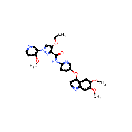 CCOc1cn(-c2cnccc2OC)nc1C(=O)Nc1ccc(Oc2ccnc3cc(OC)c(OC)cc23)cn1